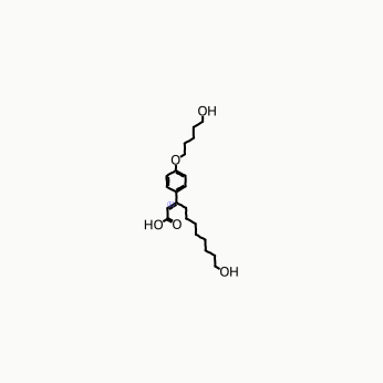 O=C(O)/C=C(\CCCCCCCCO)c1ccc(OCCCCCO)cc1